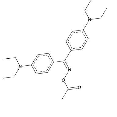 CCN(CC)c1ccc(C(=NOC(C)=O)c2ccc(N(CC)CC)cc2)cc1